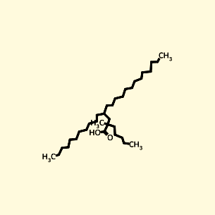 CCCCCCCCCCCCCC(CCCCCCCCCCC)CC(C)(CCCCC)C(=O)O